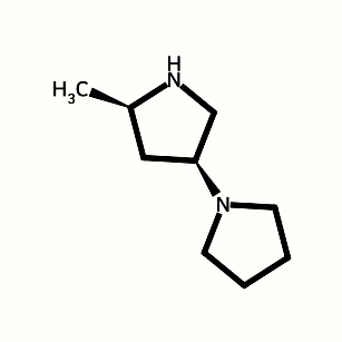 C[C@@H]1C[C@H](N2CCCC2)CN1